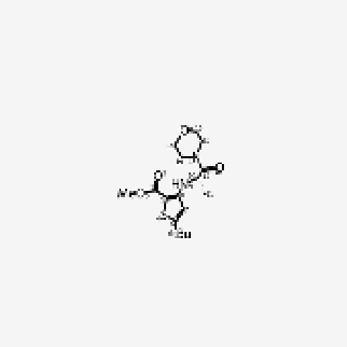 COC(=O)c1sc(C(C)(C)C)cc1N[C@@H](C)C(=O)N1CCOCC1